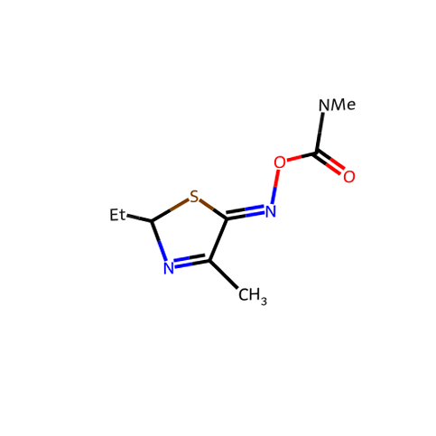 CCC1N=C(C)C(=NOC(=O)NC)S1